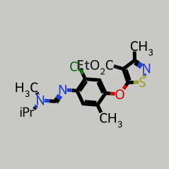 CCOC(=O)c1c(C)nsc1Oc1cc(Cl)c(N=CN(C)C(C)C)cc1C